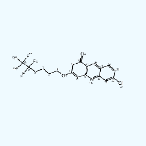 O=C1CC(OCCCCC(F)(F)C(F)(F)F)=Cc2nc3cc(Cl)ccc3cc21